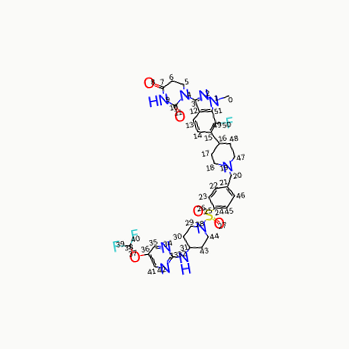 Cn1nc(N2CCC(=O)NC2=O)c2ccc(C3CCN(Cc4ccc(S(=O)(=O)N5CCC(Nc6ncc(OC(F)F)cn6)CC5)cc4)CC3)c(F)c21